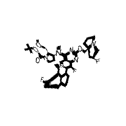 C#Cc1c(F)ccc2cccc(-c3ncc4c(N(C)[C@@H]5CCN(C(=O)OC(C)(C)C)[C@@H]5COC)nc(OC[C@@]56CCCN5C[C@H](F)C6)nc4c3F)c12